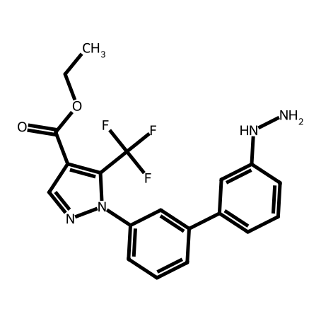 CCOC(=O)c1cnn(-c2cccc(-c3cccc(NN)c3)c2)c1C(F)(F)F